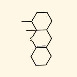 CC1CCCC2CC3=C(CCCC3)SC12C